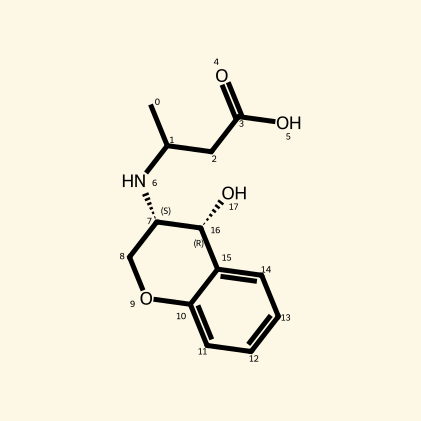 CC(CC(=O)O)N[C@H]1COc2ccccc2[C@H]1O